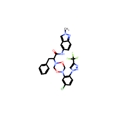 Cn1cc2cc(NC(=O)C(Cc3ccccc3)N3CON(c4cc(Cl)ccc4-n4cc(C(F)(F)F)nn4)CO3)ccc2n1